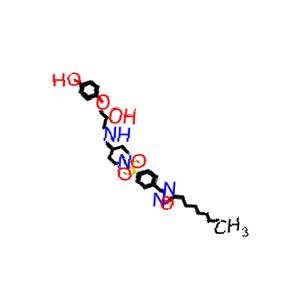 CCCCCCCCc1nc(-c2ccc(S(=O)(=O)N3CCC(CNC[C@H](O)COc4ccc(O)cc4)CC3)cc2)no1